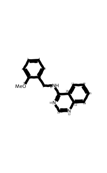 COc1ccccc1CNc1ncnc2ccccc12